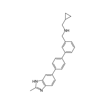 Cc1nc2ccc(-c3ccc(-c4cccc(CNCC5CC5)c4)cc3)cc2[nH]1